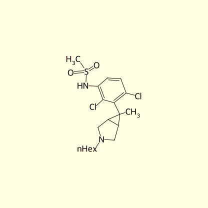 CCCCCCN1CC2C(C1)C2(C)c1c(Cl)ccc(NS(C)(=O)=O)c1Cl